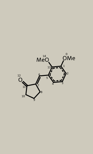 COc1cccc(/C=C2\CCCC2=O)c1OC